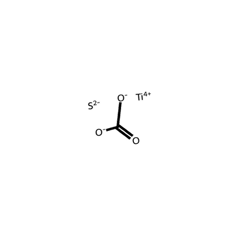 O=C([O-])[O-].[S-2].[Ti+4]